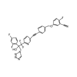 N#Cc1cc(OCc2ccc(C#Cc3ccc(C(F)(F)C(O)(Cn4cnnn4)c4ccc(F)cc4F)nc3)cc2)ccc1F